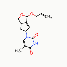 C=CCOC1OCC2CC(n3cc(C)c(=O)[nH]c3=O)C=C21